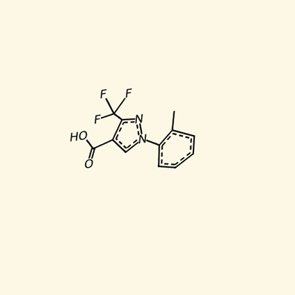 Cc1ccccc1-n1cc(C(=O)O)c(C(F)(F)F)n1